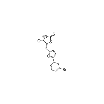 O=C1NC(=S)S/C1=C\c1ccc(C2C=CC=C(Br)C2)o1